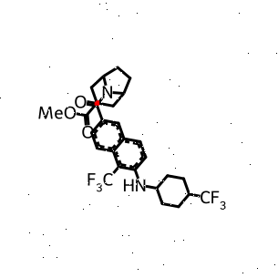 COC(=O)C1CC2CCC(C1)N2C(=O)c1ccc2c(C(F)(F)F)c(NC3CCC(C(F)(F)F)CC3)ccc2c1